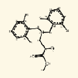 COC(=O)C(Br)CN(Cc1c(C)cccc1C)Cc1c(C)cccc1C